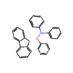 c1ccc(ON(c2ccccc2)c2ccccc2)cc1.c1ccc2c(c1)Cc1ccccc1-2